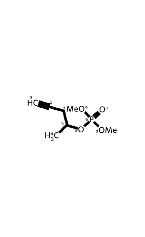 C#CCC(C)OP(=O)(OC)OC